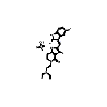 CCN(CC)CCN1CCc2[nH]c(/C=C3\C(=O)Nc4ccc(F)cc43)c(C)c2C1=O.CS(=O)(=O)O